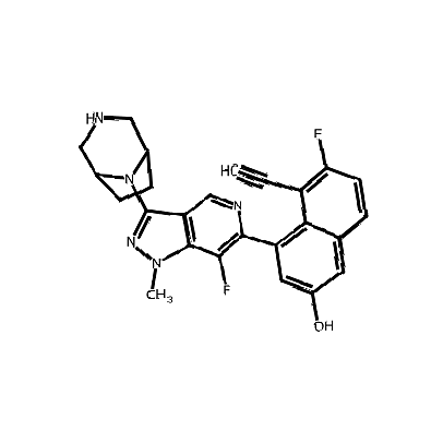 C#Cc1c(F)ccc2cc(O)cc(-c3ncc4c(N5C6CCC5CNC6)nn(C)c4c3F)c12